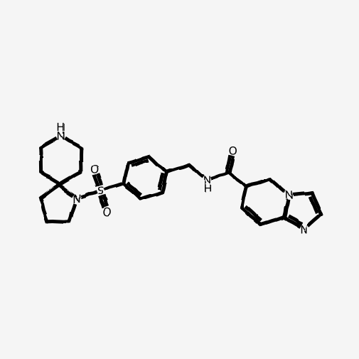 O=C(NCc1ccc(S(=O)(=O)N2CCCC23CCNCC3)cc1)C1C=Cc2nccn2C1